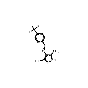 Cc1n[nH]c(C)c1N=Nc1ccc(C(F)(F)F)cc1